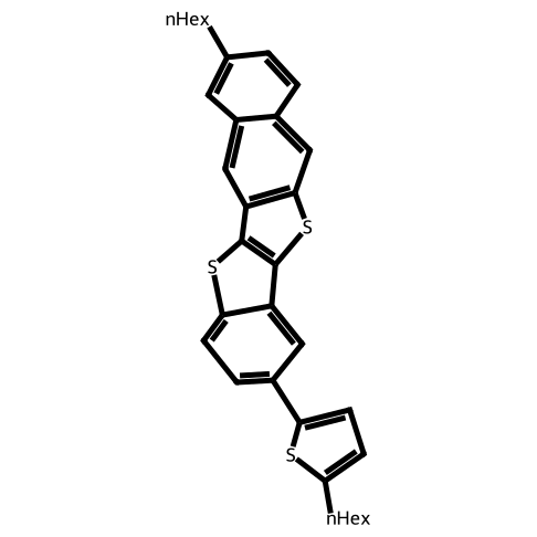 CCCCCCc1ccc2cc3sc4c5cc(-c6ccc(CCCCCC)s6)ccc5sc4c3cc2c1